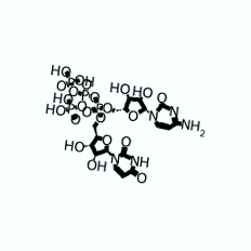 Nc1ccn([C@@H]2O[C@H](COP(=O)(OC[C@H]3O[C@@H](n4ccc(=O)[nH]c4=O)[C@H](O)[C@@H]3O)OP(=O)(OP(=O)(O)O)OP(=O)(O)O)[C@@H](O)[C@H]2O)c(=O)n1